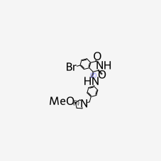 CO[C@@H]1CCN(Cc2ccc(N/C=C3\C(=O)NC(=O)c4ccc(Br)cc43)cc2)C1